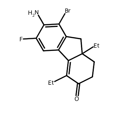 CCC1=C2c3cc(F)c(N)c(Br)c3CC2(CC)CCC1=O